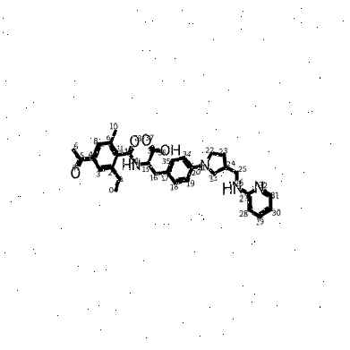 CCc1cc(C(C)=O)cc(C)c1C(=O)NC(Cc1ccc(N2CCC(CNc3ccccn3)C2)cc1)C(=O)O